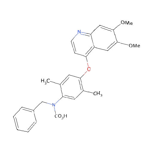 COc1cc2nccc(Oc3cc(C)c(N(Cc4ccccc4)C(=O)O)cc3C)c2cc1OC